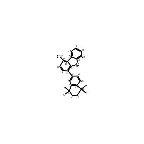 CC1(C)CCC(C)(C)c2cc(-c3ccc(Cl)c4c3oc3ccccc34)ccc21